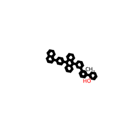 Cc1c(C2=C(O)C=CCC2)cccc1C1C=CCC(C2=C3CCC=CC3C(C3=CCC(C4=C5CCC=CC5CC=C4)C=C3)C3C=CCCC23)C1